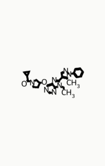 CCn1c(-c2cnn(-c3ccccc3)c2C)nc2c(OC3CCN(C(=O)C4CC4)C3)ncnc21